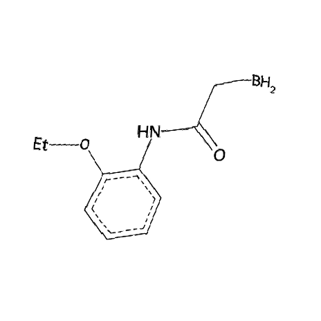 BCC(=O)Nc1ccccc1OCC